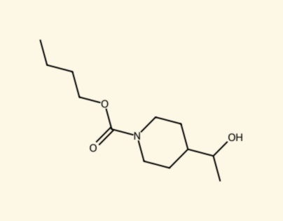 CCCCOC(=O)N1CCC(C(C)O)CC1